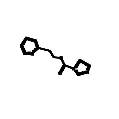 O=C(OCCc1ccccn1)n1ccnc1